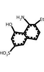 CCc1ccc2cc(S(=O)(=O)O)cc(O)c2c1N